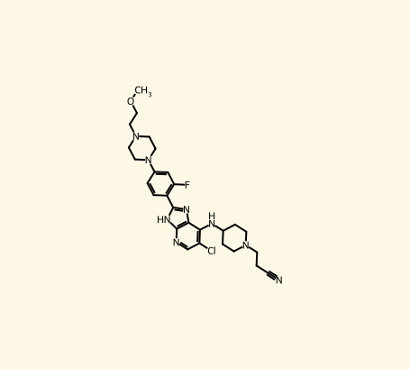 COCCN1CCN(c2ccc(-c3nc4c(NC5CCN(CCC#N)CC5)c(Cl)cnc4[nH]3)c(F)c2)CC1